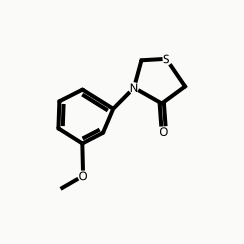 COc1cccc(N2CSCC2=O)c1